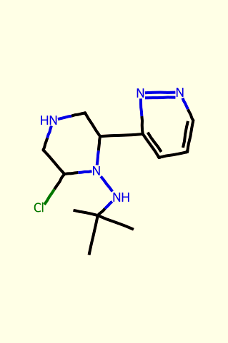 CC(C)(C)NN1C(Cl)CNCC1c1cccnn1